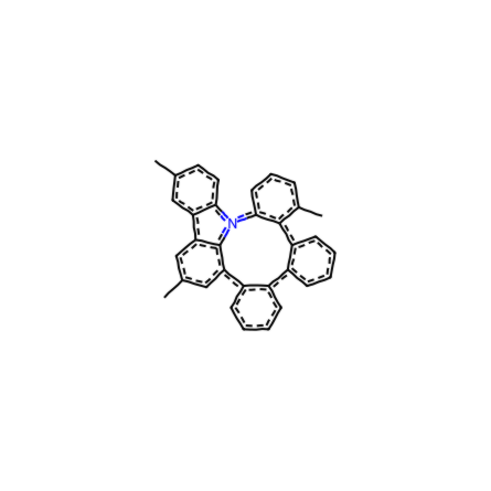 Cc1ccc2c(c1)c1cc(C)cc3c4ccccc4c4ccccc4c4c(C)cccc4n2c31